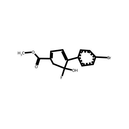 COC(=O)C1=CC=C(c2ccc(Br)cc2)C(O)(F)C1